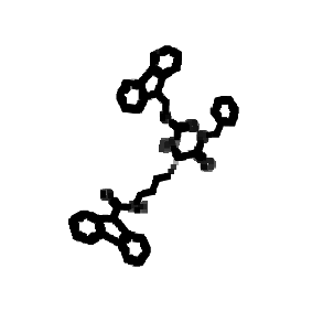 O=C(N[C@@H](CCCCNC(=O)C1c2ccccc2-c2ccccc21)C(=O)OCc1ccccc1)OCC1c2ccccc2-c2ccccc21